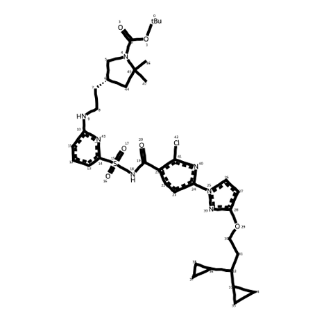 CC(C)(C)OC(=O)N1C[C@@H](CCNc2cccc(S(=O)(=O)NC(=O)c3ccc(-n4ccc(OCCC(C5CC5)C5CC5)n4)nc3Cl)n2)CC1(C)C